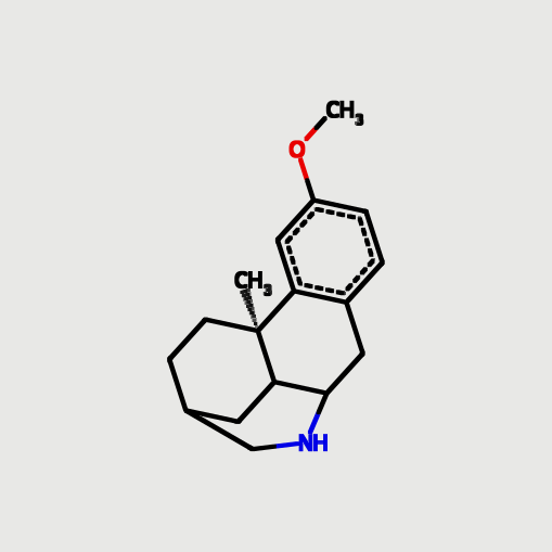 COc1ccc2c(c1)[C@]1(C)CCC3CNC(C2)C1C3